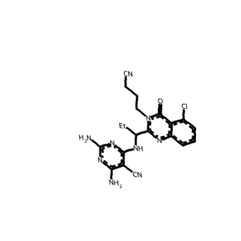 CCC(Nc1nc(N)nc(N)c1C#N)c1nc2cccc(Cl)c2c(=O)n1CCCC#N